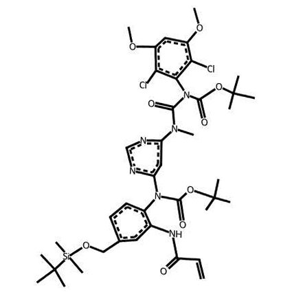 C=CC(=O)Nc1cc(CO[Si](C)(C)C(C)(C)C)ccc1N(C(=O)OC(C)(C)C)c1cc(N(C)C(=O)N(C(=O)OC(C)(C)C)c2c(Cl)c(OC)cc(OC)c2Cl)ncn1